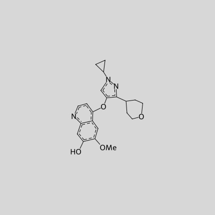 COc1cc2c(Oc3cn(C4CC4)nc3C3CCOCC3)ccnc2cc1O